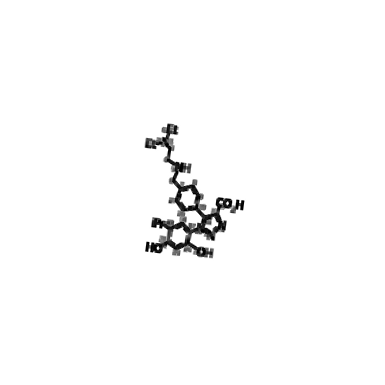 CCN(CC)CCNCc1ccc(-c2c(C(=O)O)nnn2-c2cc(C(C)C)c(O)cc2O)cc1